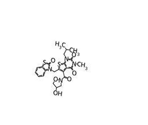 CC(C)Cn1c(=O)n(C)c(=O)c2c(C(=O)N3CC(O)CO3)c(Cn3c(=O)sc4ccccc43)sc21